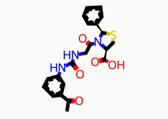 CC(=O)c1cccc(NC(=O)NCC(=O)N2[C@@H](c3ccccc3)SC[C@H]2C(=O)O)c1